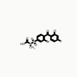 CN(C(=O)O)S(=O)(=O)c1ccc(C(=O)c2ccc(F)cc2Cl)c(Br)c1